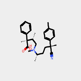 Cc1ccc([C@](C)(C#N)CC[C@H](C)N(C)C[C@@H](C)[C@@](C)(C(=O)O)c2ccccc2)cc1